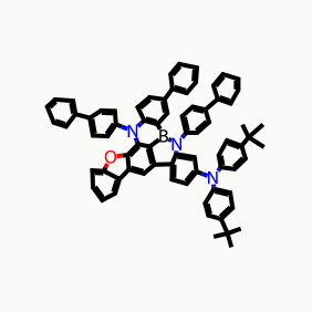 CC(C)(C)c1ccc(N(c2ccc(C(C)(C)C)cc2)c2ccc3c(c2)N(c2ccc(-c4ccccc4)cc2)B2c4cc(-c5ccccc5)ccc4N(c4ccc(-c5ccccc5)cc4)c4c2c-3cc2c4oc3ccccc32)cc1